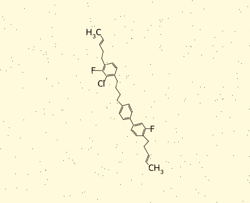 C/C=C/CCc1ccc(-c2ccc(CCCCc3ccc(CC/C=C/C)c(F)c3Cl)cc2)cc1F